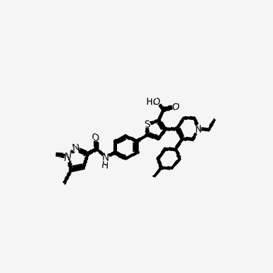 CCN1CCC(c2cc(-c3ccc(NC(=O)c4cc(C)n(C)n4)cc3)sc2C(=O)O)=C(C2CCC(C)CC2)C1